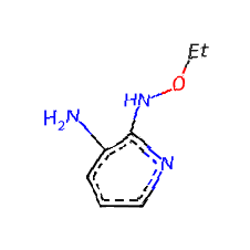 CCONc1ncccc1N